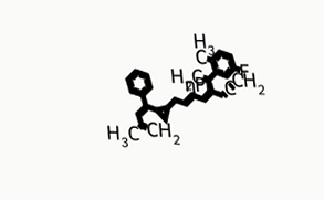 C=C=C/C(=C/C(=C/CC1CC1/C(=C\C(=C)C)c1ccccc1)CCC)C(=C)c1cc(F)ccc1C